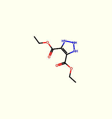 CCOC(=O)C1=C(C(=O)OCC)NNN1